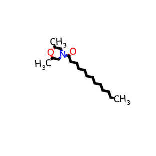 CCCCCCCCCCCCC(=O)N1CC(C)OC(C)C1